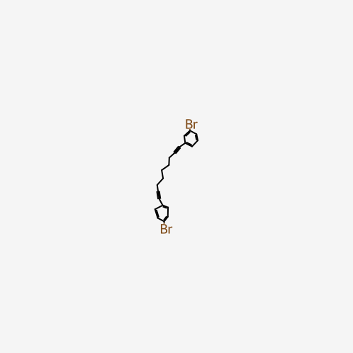 Brc1ccc(C#CCCCCCC#Cc2cccc(Br)c2)cc1